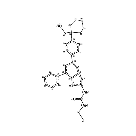 CCNC(=O)Nc1nc2cc(-c3cnc(C4(SO)CCOCC4)nc3)cc(-c3ccccn3)c2s1